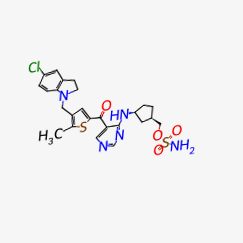 Cc1sc(C(=O)c2cncnc2N[C@H]2CC[C@@H](COS(N)(=O)=O)C2)cc1CN1CCc2cc(Cl)ccc21